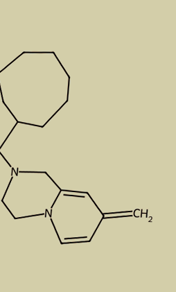 C=C1C=CN2CCN(CC3CCCCCCC3)CC2=C1